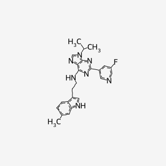 Cc1ccc2c(CCNc3nc(-c4cncc(F)c4)nc4c3ncn4C(C)C)c[nH]c2c1